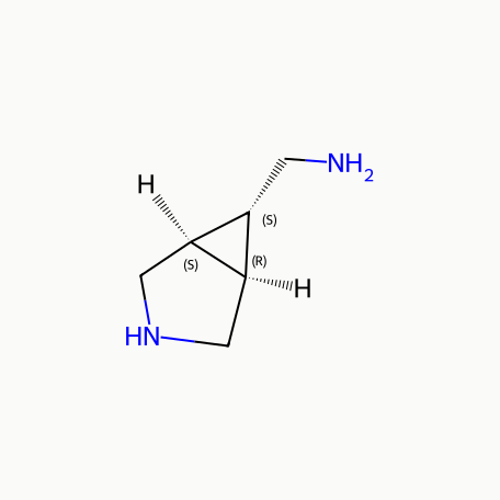 NC[C@@H]1[C@H]2CNC[C@@H]12